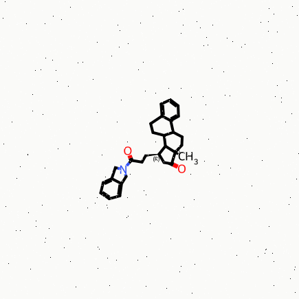 C[C@]12CCC3c4ccccc4CCC3C1[C@H](CCC(=O)N1Cc3ccccc3C1)CC2=O